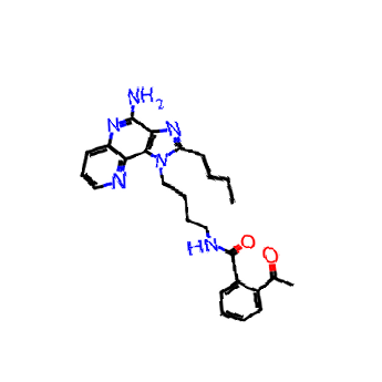 CCCCc1nc2c(N)nc3cccnc3c2n1CCCCNC(=O)c1ccccc1C(C)=O